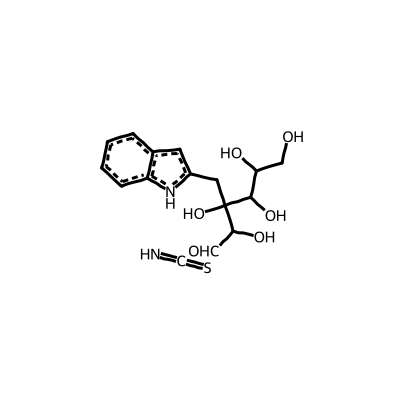 N=C=S.O=CC(O)C(O)(Cc1cc2ccccc2[nH]1)C(O)C(O)CO